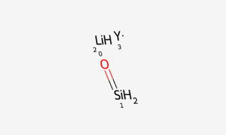 O=[SiH2].[LiH].[Y]